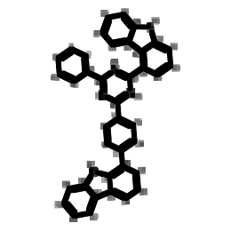 c1ccc(-c2nc(-c3ccc(-c4cccc5c4oc4ccccc45)cc3)nc(-c3cccc4sc5ccccc5c34)n2)cc1